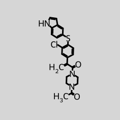 C=C(C(=O)N1CCN(C(C)=O)CC1)c1ccc(Sc2ccc3[nH]ccc3c2)c(Cl)c1